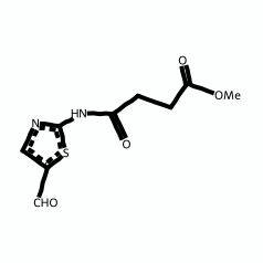 COC(=O)CCC(=O)Nc1ncc(C=O)s1